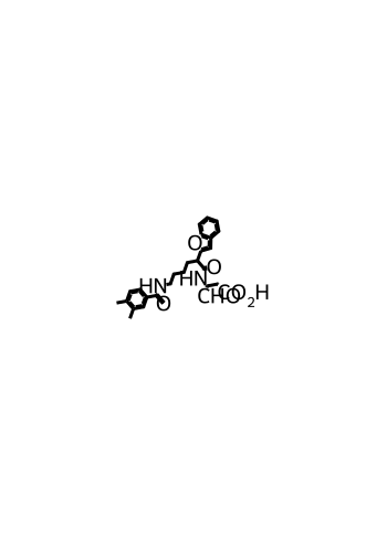 Cc1ccc(C(=O)NCCCCC(C(=O)NC(C=O)CC(=O)O)c2cc3ccccc3o2)cc1C